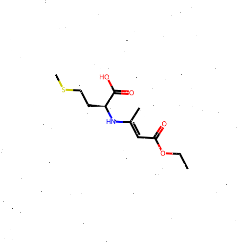 CCOC(=O)/C=C(\C)N[C@@H](CCSC)C(=O)O